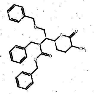 CC1CC[C@@H]([C@H](COCc2ccccc2)N(Cc2ccccc2)C(=O)OCc2ccccc2)OC1=O